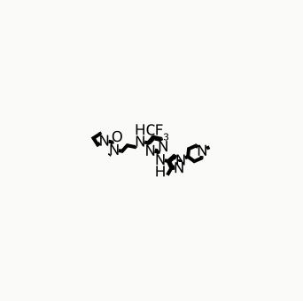 Cc1nn(C2CCN(C)CC2)cc1Nc1ncc(C(F)(F)F)c(NCCCN(C)C(=O)N2CCC2)n1